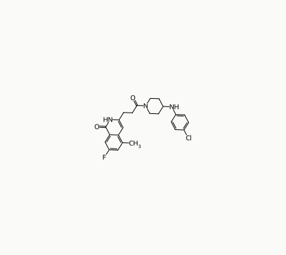 Cc1cc(F)cc2c(=O)[nH]c(CCC(=O)N3CCC(Nc4ccc(Cl)cc4)CC3)cc12